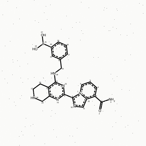 NC(=O)c1cccn2c(-c3nc4c(c(NCc5cccc(B(O)O)c5)n3)CCNC4)ncc12